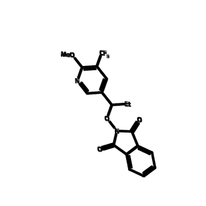 CCC(ON1C(=O)c2ccccc2C1=O)c1cnc(OC)c(C(F)(F)F)c1